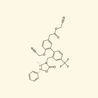 C[C@H]1[C@@H](c2ccccc2)OC(=O)N1Cc1cc(C(F)(F)F)ccc1-c1cc(CC(=O)OCC#N)ccc1OCC#N